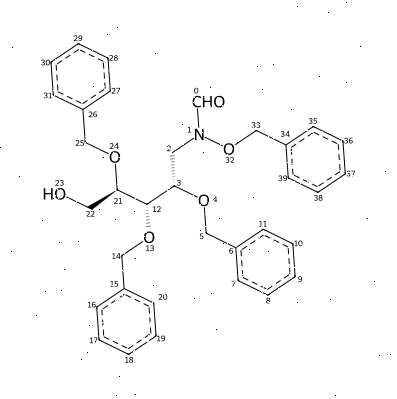 O=CN(C[C@H](OCc1ccccc1)[C@H](OCc1ccccc1)[C@@H](CO)OCc1ccccc1)OCc1ccccc1